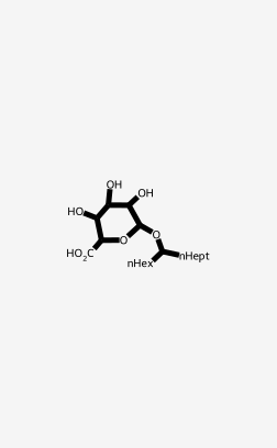 CCCCCCCC(CCCCCC)OC1OC(C(=O)O)C(O)C(O)C1O